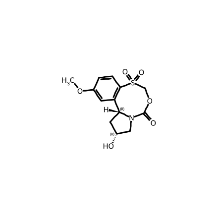 COc1ccc2c(c1)[C@H]1C[C@@H](O)CN1C(=O)OCS2(=O)=O